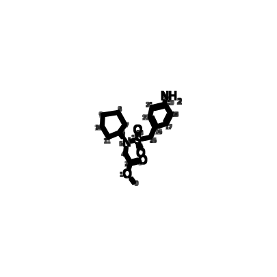 COC(=O)CN(C1CCCCC1)S(=O)(=O)Cc1ccc(N)cc1